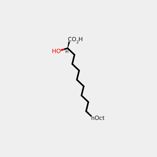 CCCCCCCCCCCCCCCC[C@@H](O)C(=O)O